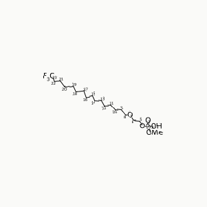 COP(=O)(O)OCCOCCCCCCCCCCCCCCCC(F)(F)F